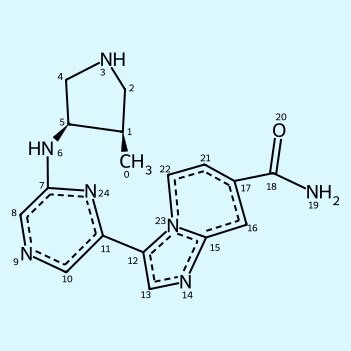 C[C@@H]1CNC[C@@H]1Nc1cncc(-c2cnc3cc(C(N)=O)ccn23)n1